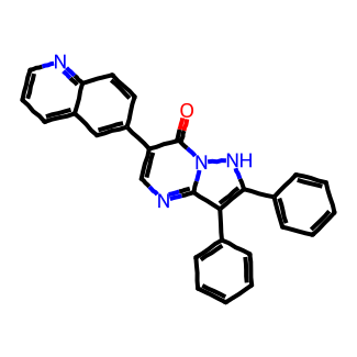 O=c1c(-c2ccc3ncccc3c2)cnc2c(-c3ccccc3)c(-c3ccccc3)[nH]n12